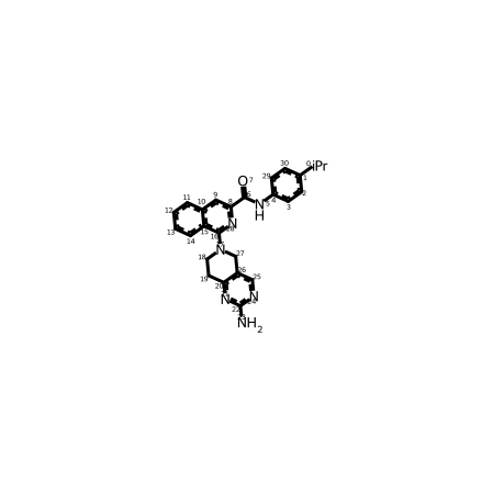 CC(C)c1ccc(NC(=O)c2cc3ccccc3c(N3CCc4nc(N)ncc4C3)n2)cc1